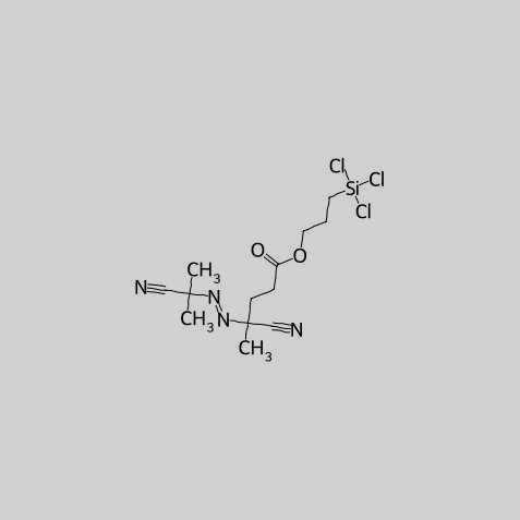 CC(C)(C#N)/N=N/C(C)(C#N)CCC(=O)OCCC[Si](Cl)(Cl)Cl